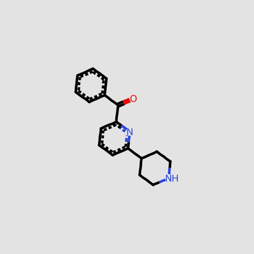 O=C(c1ccccc1)c1cccc(C2CCNCC2)n1